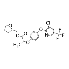 CC(Oc1ccc(Oc2ncc(C(F)(F)F)cc2Cl)cc1)C(=O)OCC1CCCO1